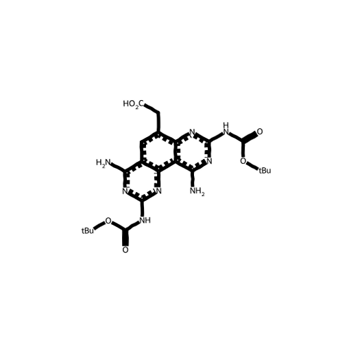 CC(C)(C)OC(=O)Nc1nc(N)c2c(n1)c(CC(=O)O)cc1c(N)nc(NC(=O)OC(C)(C)C)nc12